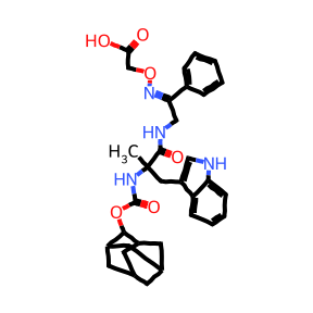 CC(Cc1c[nH]c2ccccc12)(NC(=O)OC1C2CC3CC(C2)CC1C3)C(=O)NCC(=NOCC(=O)O)c1ccccc1